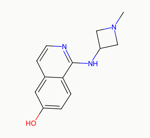 CN1CC(Nc2nccc3cc(O)ccc23)C1